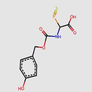 O=C(NC(P=S)C(=O)O)OCc1ccc(O)cc1